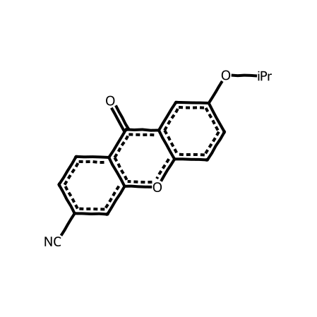 CC(C)Oc1ccc2oc3cc(C#N)ccc3c(=O)c2c1